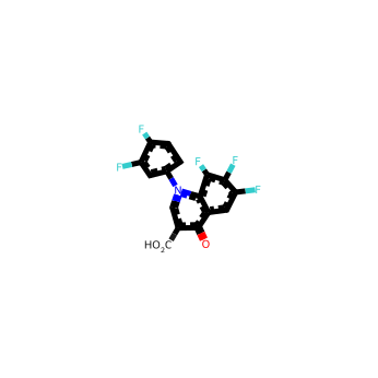 O=C(O)c1cn(-c2ccc(F)c(F)c2)c2c(F)c(F)c(F)cc2c1=O